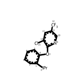 CC(C)c1ccccc1Oc1ncc(C(F)(F)F)cc1Cl